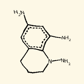 Nc1cc(N)c2c(c1)CCCN2N